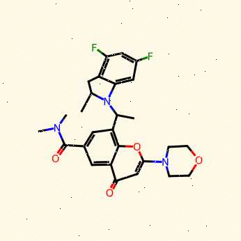 CC1Cc2c(F)cc(F)cc2N1C(C)c1cc(C(=O)N(C)C)cc2c(=O)cc(N3CCOCC3)oc12